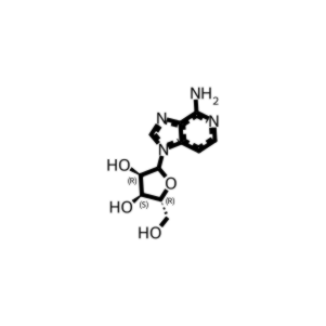 Nc1nccc2c1ncn2C1O[C@H](CO)[C@@H](O)[C@H]1O